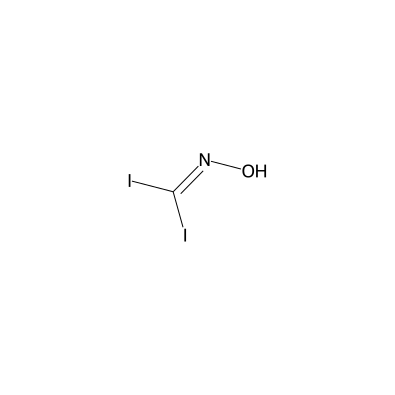 ON=C(I)I